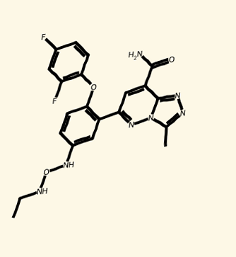 CCNONc1ccc(Oc2ccc(F)cc2F)c(-c2cc(C(N)=O)c3nnc(C)n3n2)c1